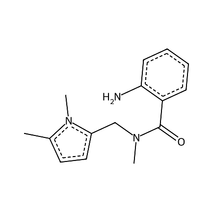 Cc1ccc(CN(C)C(=O)c2ccccc2N)n1C